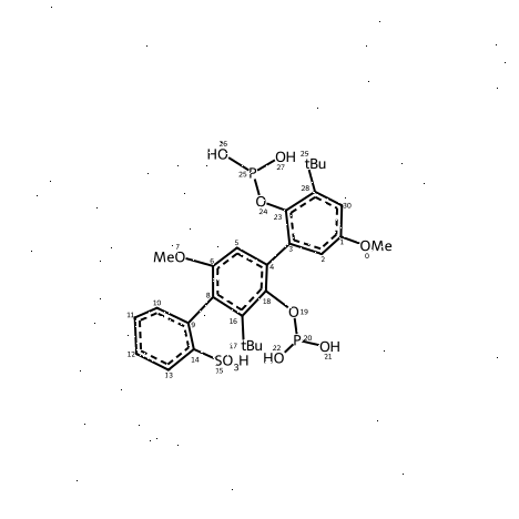 COc1cc(-c2cc(OC)c(-c3ccccc3S(=O)(=O)O)c(C(C)(C)C)c2OP(O)O)c(OP(O)O)c(C(C)(C)C)c1